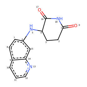 O=C1CCC(Nc2ccc3cccnc3c2)C(=O)N1